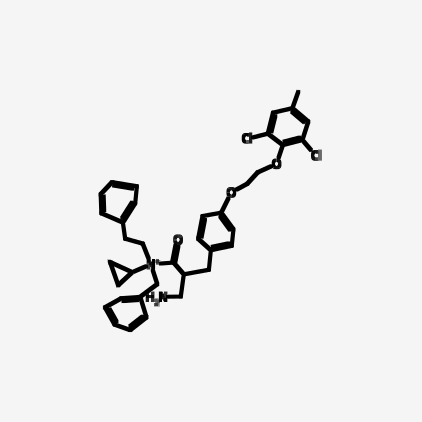 Cc1cc(Cl)c(OCCOc2ccc(CC(CN)C(=O)[N+](CCc3ccccc3)(Cc3ccccc3)C3CC3)cc2)c(Cl)c1